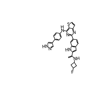 C=C(NC1CC(F)C1)c1cc2ccc(-c3nc(Nc4ccc(-c5cn[nH]c5)cc4)c4sccc4n3)cc2[nH]1